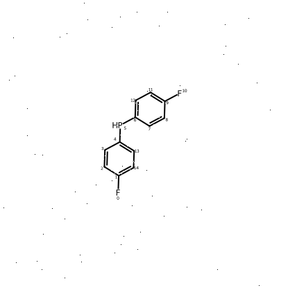 Fc1ccc(Pc2ccc(F)cc2)cc1